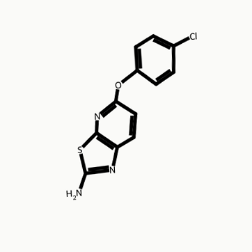 Nc1nc2ccc(Oc3ccc(Cl)cc3)nc2s1